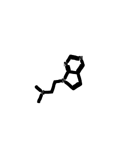 CN(C)CCn1ccc2cncnc21